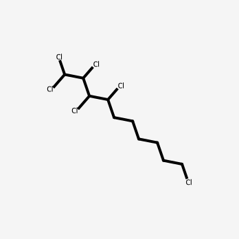 ClCCCCCCC(Cl)C(Cl)C(Cl)C(Cl)Cl